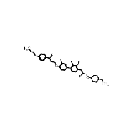 C=CCCc1ccc(C(F)CCOc2ccc(-c3ccc(CC(F)COC4CCC(CC)CC4)c(F)c3F)cc2F)cc1